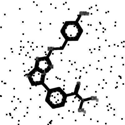 COc1ccc(CNc2nn3c(-c4cccc(C(=O)N(C)C)c4)cnc3s2)cc1